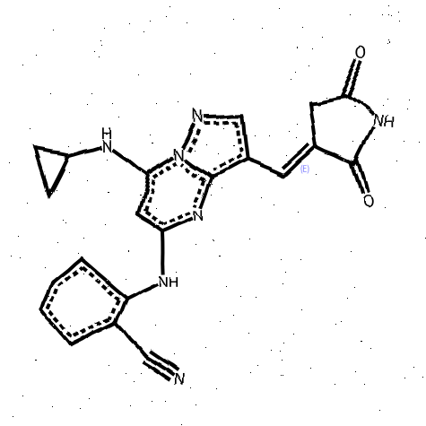 N#Cc1ccccc1Nc1cc(NC2CC2)n2ncc(/C=C3\CC(=O)NC3=O)c2n1